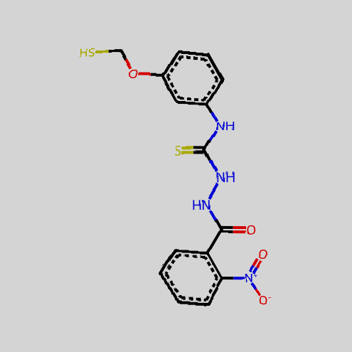 O=C(NNC(=S)Nc1cccc(OCS)c1)c1ccccc1[N+](=O)[O-]